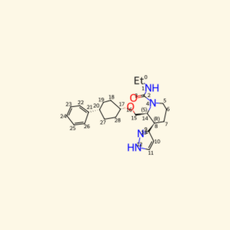 CCNC(=O)N1CCC[C@@H](c2cc[nH]n2)[C@H]1CO[C@H]1CC[C@@H](c2ccccc2)CC1